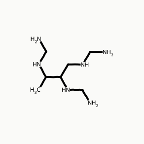 CC(NCN)C(CNCN)NCN